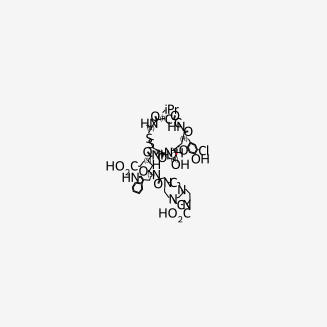 CC(C)C[C@@H]1CC(=O)CNC(=O)[C@H](Cc2ccc(O)c(Cl)c2)CC(=O)[C@@H]2C[C@@H](O)CN2C(=O)[C@@H](NC(=O)[C@@H](CCC(=O)O)CC(=O)[C@H](Cc2c[nH]c3ccccc23)NC(=O)CN2CCCN3CCN(CCCN(CC(=O)O)CC3)CC2)CSSC[C@@H](C)NC1=O